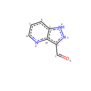 O=Cc1n[nH]c2cccnc12